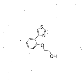 OCCOc1ccccc1-c1cs[c]n1